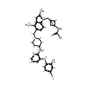 CCC(=O)NC12CC(Cn3c(C#N)cc4c(C)c(CN5CCC(Nc6ncncc6Oc6ccc(F)cc6Cl)CC5)ccc43)(C1)C2